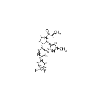 C=CC(=O)N1CCC(c2cnc(N3C[C@@H](F)[C@H](F)C3)cc2-c2ccn(C)n2)C1